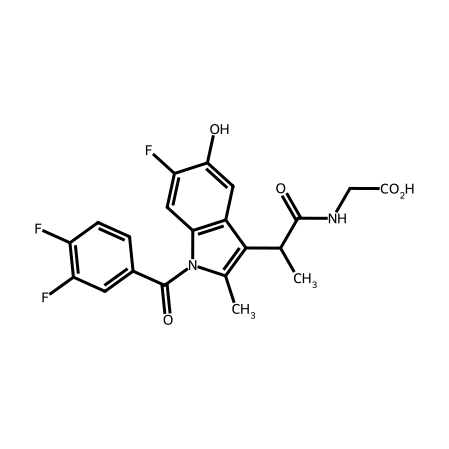 Cc1c(C(C)C(=O)NCC(=O)O)c2cc(O)c(F)cc2n1C(=O)c1ccc(F)c(F)c1